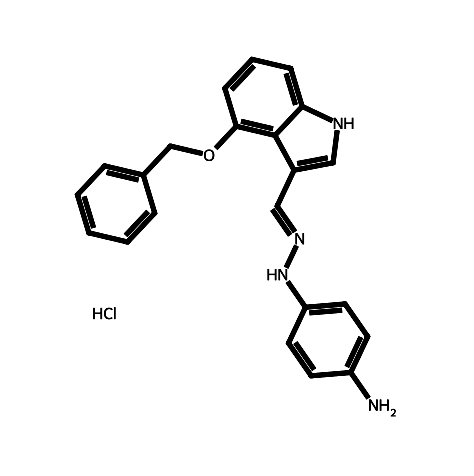 Cl.Nc1ccc(NN=Cc2c[nH]c3cccc(OCc4ccccc4)c23)cc1